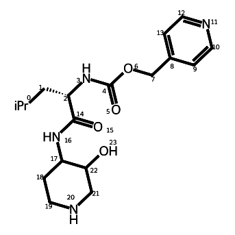 CC(C)C[C@H](NC(=O)OCc1ccncc1)C(=O)NC1CCNCC1O